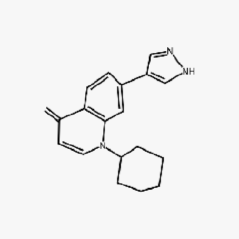 C=C1C=CN(C2CCCCC2)c2cc(-c3cn[nH]c3)ccc21